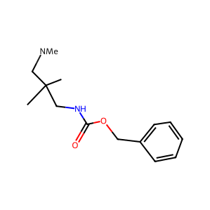 CNCC(C)(C)CNC(=O)OCc1ccccc1